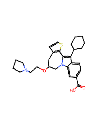 O=C(O)c1ccc2c(C3CCCCC3)c3n(c2c1)CC(OCCN1CCCC1)Cc1ccsc1-3